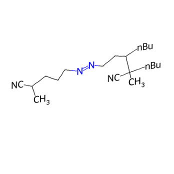 CCCCC(CCN=NCCCC(C)C#N)C(C)(C#N)CCCC